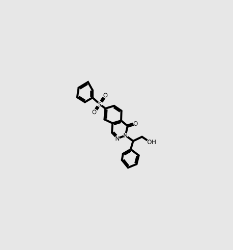 O=c1c2ccc(S(=O)(=O)c3ccccc3)cc2cnn1C(CO)c1ccccc1